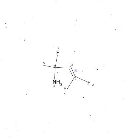 C/C(F)=C\C(C)(N)F